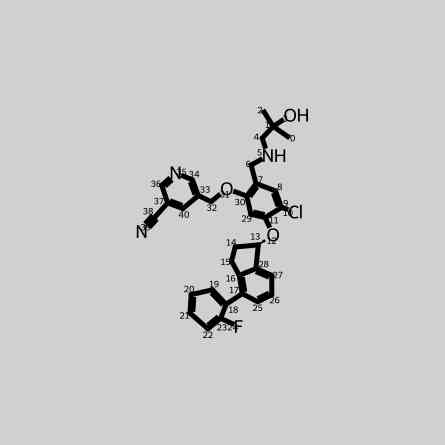 CC(C)(O)CNCc1cc(Cl)c(O[C@H]2CCc3c(-c4ccccc4F)cccc32)cc1OCc1cncc(C#N)c1